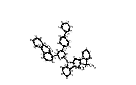 CC1(C)c2ccccc2-c2cc3c(cc21)c1ccccc1n3-c1cc(-c2ccc(-c3ccccc3)cc2)cc(-c2cccc3c2oc2ccccc23)n1